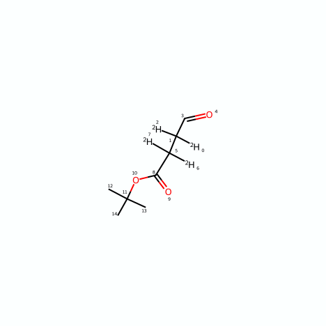 [2H]C([2H])(C=O)C([2H])([2H])C(=O)OC(C)(C)C